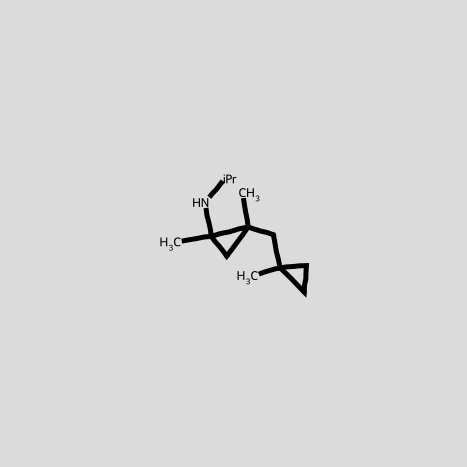 CC(C)NC1(C)CC1(C)CC1(C)CC1